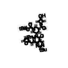 CC(C)CN(C(=O)c1cnc(C(C)(C)C)nc1NCc1ccco1)C1C[C@@H](C(=O)N2CC(O)C2)CN(C(=O)OC(C)(C)C)C1